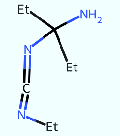 CCN=C=NC(N)(CC)CC